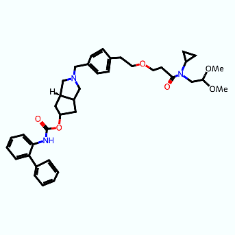 COC(CN(C(=O)CCOCCc1ccc(CN2CC3CC(OC(=O)Nc4ccccc4-c4ccccc4)C[C@@H]3C2)cc1)C1CC1)OC